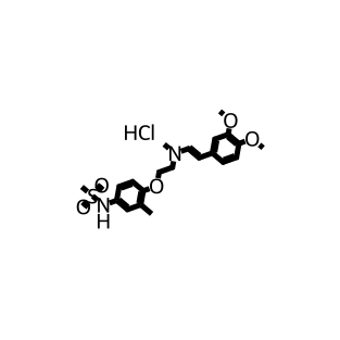 COc1ccc(C=CN(C)CCOc2ccc(NS(C)(=O)=O)cc2C)cc1OC.Cl